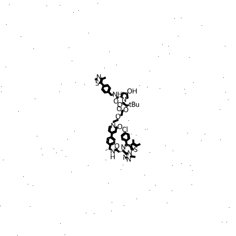 Cc1ncsc1-c1ccc(CNC(=O)[C@@H]2C[C@@H](O)CN2C(=O)C(OC(=O)COCCn2ccc(-c3ccc([C@@H](C)NC(=O)C[C@@H]4N=C(c5ccc(Cl)cc5)c5c(sc(C)c5C)-n5c(C)nnc54)cc3)cc2=O)C(C)(C)C)cc1